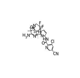 CC1(C)C(N)=N[C@](C)(c2nc(NC(=O)c3ncc(C#N)cc3Cl)ccc2F)[C@H]2CC(F)(F)CN=[S@@]21=O